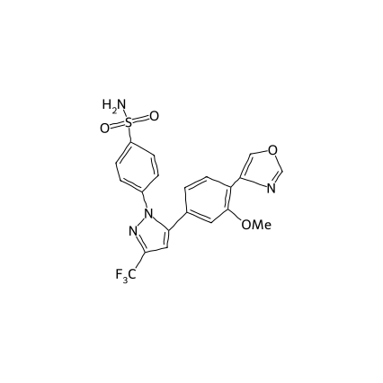 COc1cc(-c2cc(C(F)(F)F)nn2-c2ccc(S(N)(=O)=O)cc2)ccc1-c1cocn1